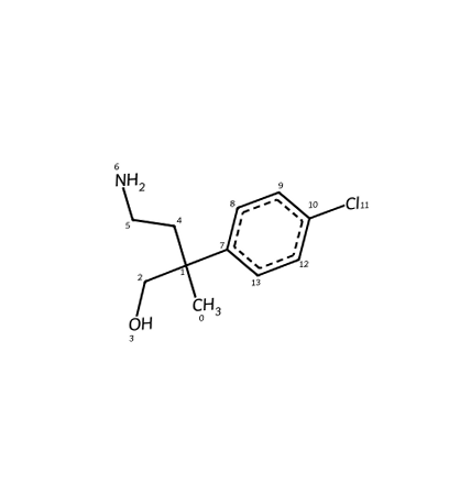 CC(CO)(CCN)c1ccc(Cl)cc1